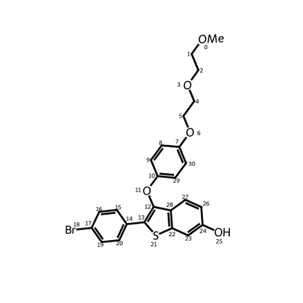 COCCOCCOc1ccc(Oc2c(-c3ccc(Br)cc3)sc3cc(O)ccc23)cc1